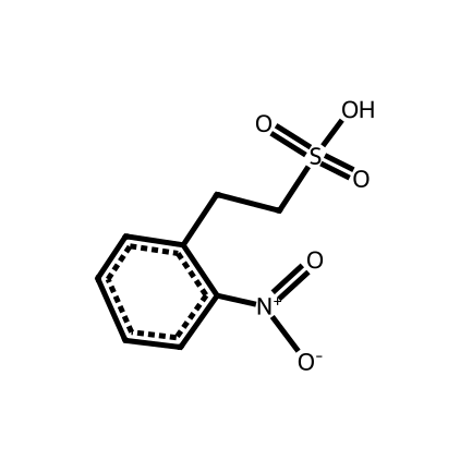 O=[N+]([O-])c1ccccc1CCS(=O)(=O)O